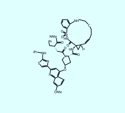 CNC(=O)[C@H](CC(=O)N1C[C@H](Oc2cc(-c3csc(NC(C)C)n3)nc3cc(OC)ccc23)C[C@H]1C(=O)N[C@]12C[C@H]1/C=C\CCCCCNc1ccccc1S(=O)(=O)NC2=O)CC(C)C